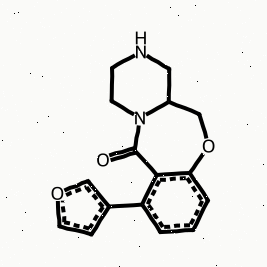 O=C1c2c(cccc2-c2ccoc2)OCC2CNCCN12